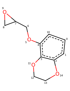 c1cc2c(c(OCC3CO3)c1)OCCO2